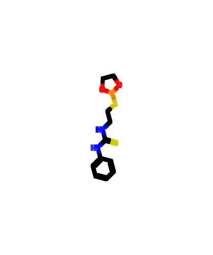 S=C(NCCSP1OCCO1)Nc1ccccc1